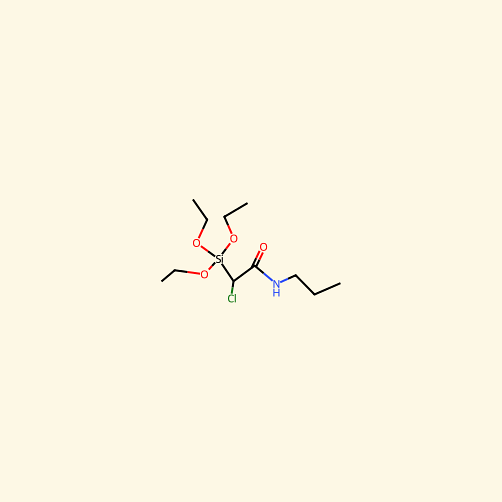 CCCNC(=O)C(Cl)[Si](OCC)(OCC)OCC